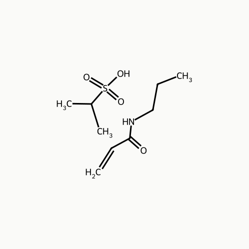 C=CC(=O)NCCC.CC(C)S(=O)(=O)O